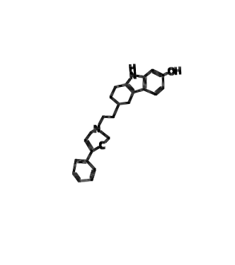 Oc1ccc2c3c([nH]c2c1)CCC(CCN1CC=C(c2ccccc2)CC1)C3